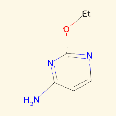 CCOc1nccc(N)n1